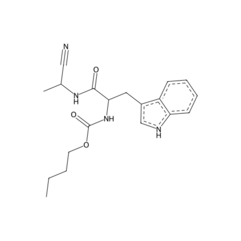 CCCCOC(=O)NC(Cc1c[nH]c2ccccc12)C(=O)NC(C)C#N